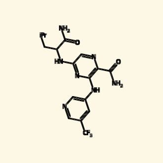 CC(C)CC(Nc1cnc(C(N)=O)c(Nc2cncc(C(F)(F)F)c2)n1)C(N)=O